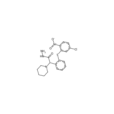 NNC(=O)C(c1ccccc1Sc1cc(Cl)ccc1[N+](=O)[O-])N1CCCCC1